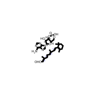 CC1=C(/C=C/C(C)=C/C=C/C(C)=C/C=O)C(C)(C)CCC1.Nc1ncnc2c1ncn2[C@@H]1O[C@@H]2COP(=O)(O)O[C@H]2[C@H]1O